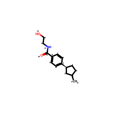 CC1CC[C@H](c2ccc(C(=O)NCCO)cc2)C1